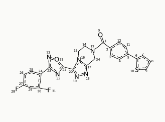 O=C(c1ccc(-c2cccs2)cc1)N1CCn2c(nnc2-c2nc(-c3ccc(F)cc3F)no2)C1